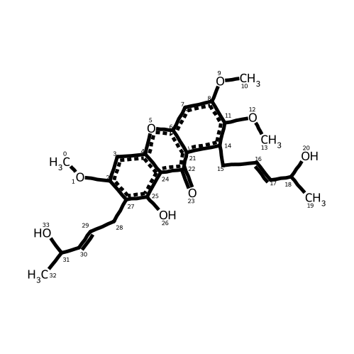 COc1cc2oc3cc(OC)c(OC)c(CC=CC(C)O)c3c(=O)c2c(O)c1CC=CC(C)O